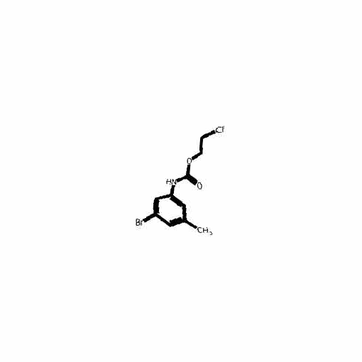 Cc1cc(Br)cc(NC(=O)OCCCl)c1